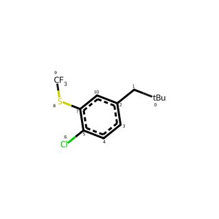 CC(C)(C)Cc1ccc(Cl)c(SC(F)(F)F)c1